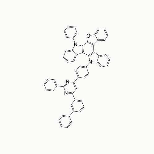 c1ccc(-c2cccc(-c3cc(-c4ccc(-n5c6ccccc6c6c7c8ccccc8oc7c7c(c8ccccc8n7-c7ccccc7)c65)cc4)nc(-c4ccccc4)n3)c2)cc1